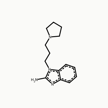 Nc1nc2ccccc2n1CCCN1CCCC1